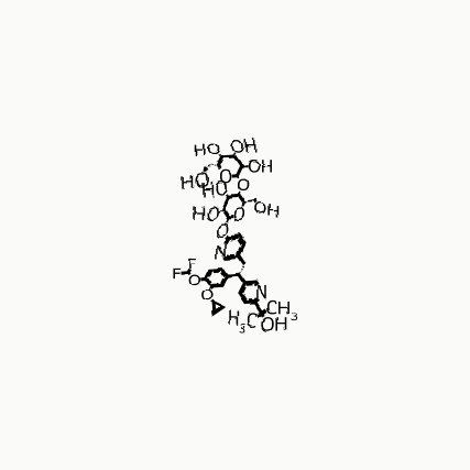 CC(C)(O)c1ccc([C@@H](Cc2ccc(O[C@@H]3O[C@H](CO)[C@@H](O[C@@H]4O[C@H](CO)[C@@H](O)[C@H](O)[C@H]4O)[C@H](O)[C@H]3O)nc2)c2ccc(OC(F)F)c(OC3CC3)c2)cn1